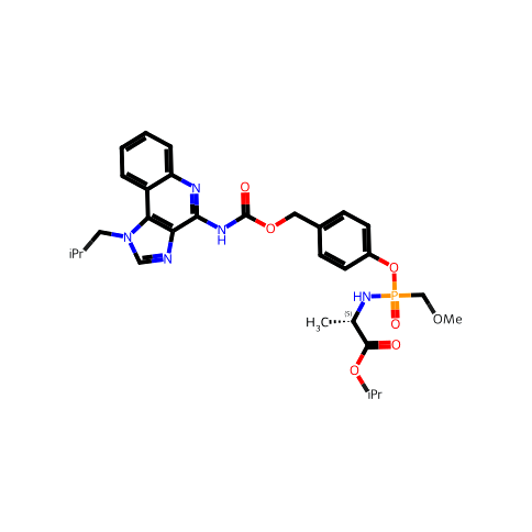 COCP(=O)(N[C@@H](C)C(=O)OC(C)C)Oc1ccc(COC(=O)Nc2nc3ccccc3c3c2ncn3CC(C)C)cc1